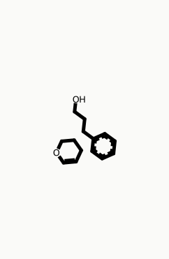 C1=COCCC1.OCCCc1ccccc1